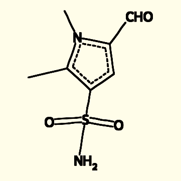 Cc1c(S(N)(=O)=O)cc(C=O)n1C